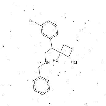 Cl.OC1(C(CNCc2ccccc2)c2cccc(Br)c2)CCC1